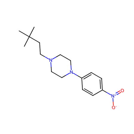 CC(C)(C)CCN1CCN(c2ccc([N+](=O)[O-])cc2)CC1